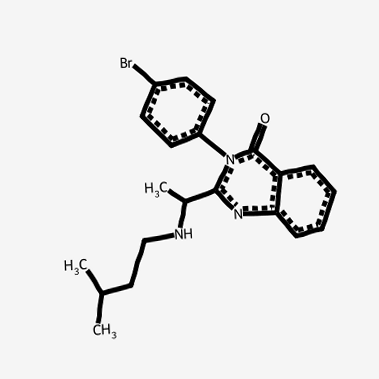 CC(C)CCNC(C)c1nc2ccccc2c(=O)n1-c1ccc(Br)cc1